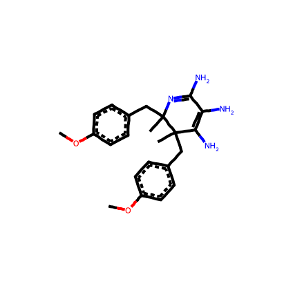 COc1ccc(CC2(C)N=C(N)C(N)=C(N)C2(C)Cc2ccc(OC)cc2)cc1